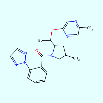 CCC(Oc1cnc(C(F)(F)F)cn1)C1CC(C)CN1C(=O)c1ccccc1-n1nccn1